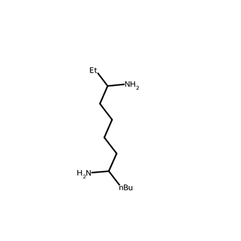 CCCCC(N)CCCCC(N)CC